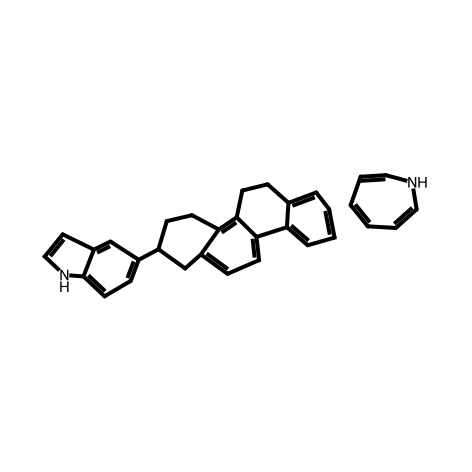 C1=CC=CNC=C1.c1ccc2c(c1)CCc1c-2ccc2c1CCC(c1ccc3[nH]ccc3c1)C2